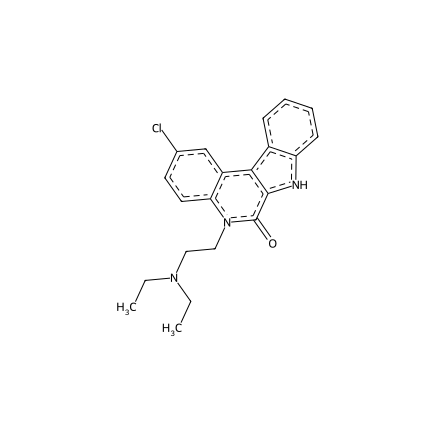 CCN(CC)CCn1c(=O)c2[nH]c3ccccc3c2c2cc(Cl)ccc21